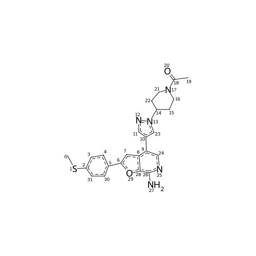 CSc1ccc(-c2cc3c(-c4cnn(C5CCN(C(C)=O)CC5)c4)cnc(N)c3o2)cc1